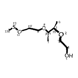 C[C@@H](OCCO)[C@@H](C)OCCOSI